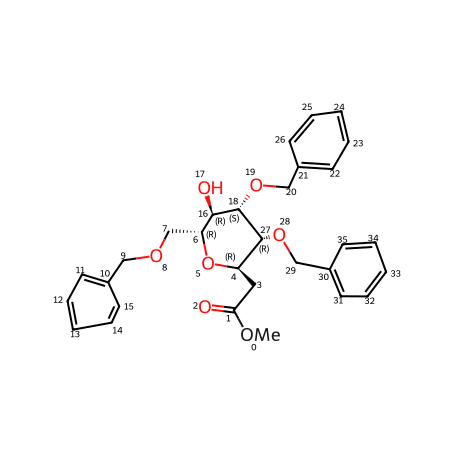 COC(=O)C[C@H]1O[C@H](COCc2ccccc2)[C@@H](O)[C@H](OCc2ccccc2)[C@@H]1OCc1ccccc1